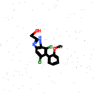 CC(C)Oc1ccccc1-c1c(Cl)cc2nc(CO)[nH]c2c1Cl